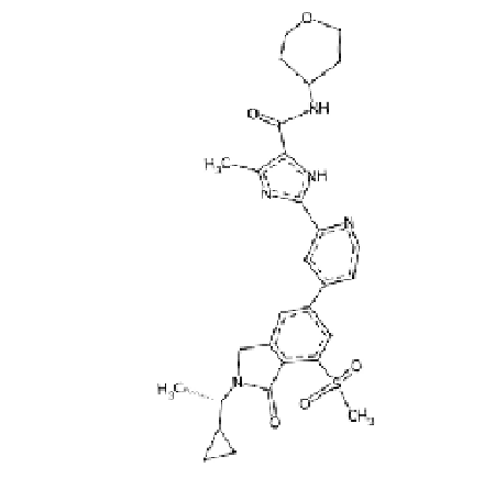 Cc1nc(-c2cc(-c3cc4c(c(S(C)(=O)=O)c3)C(=O)N([C@@H](C)C3CC3)C4)ccn2)[nH]c1C(=O)NC1CCOCC1